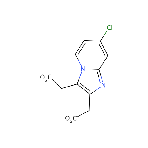 O=C(O)Cc1nc2cc(Cl)ccn2c1CC(=O)O